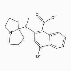 CN(c1c[n+]([O-])c2ccccc2c1[N+](=O)[O-])C12CCCN1CCC2